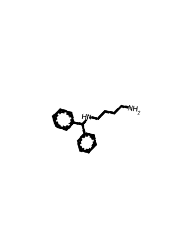 NCCCCNC(c1ccccc1)c1ccccc1